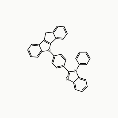 c1ccc(-n2c(-c3ccc(-n4c5c(c6ccccc64)Cc4ccccc4-5)cc3)nc3ccccc32)cc1